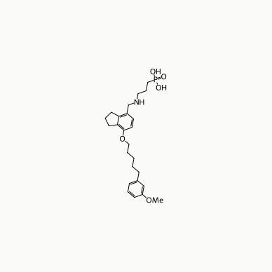 COc1cccc(CCCCCOc2ccc(CNCCCP(=O)(O)O)c3c2CCC3)c1